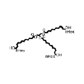 CCCCCC[C@@H](O)C/C=C\CCCCCCCC(=O)OCC(COC(=O)CCCCCCC/C=C\C[C@H](O)CCCCCC)OC(=O)CCCCCCC/C=C\C[C@H](O)CCCCCC